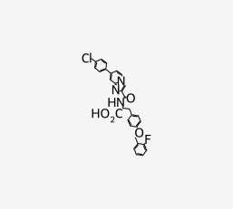 O=C(N[C@@H](Cc1ccc(OCc2ccccc2F)cc1)C(=O)O)c1cn2ccc(-c3ccc(Cl)cc3)cc2n1